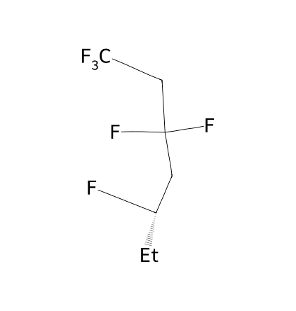 [CH2]C[C@H](F)CC(F)(F)CC(F)(F)F